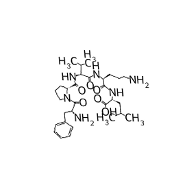 CC(C)C[C@H](NC(=O)[C@H](CCCN)NC(=O)[C@@H](NC(=O)[C@@H]1CCCN1C(=O)[C@@H](N)Cc1ccccc1)C(C)C)C(=O)O